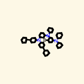 c1ccc(-c2ccc(N3c4ccc(-c5ccccc5)cc4B4c5ccc(N(c6ccccc6)c6ccccc6)cc5N(c5ccccc5)c5cccc3c54)cc2)cc1